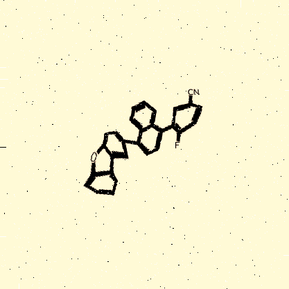 N#Cc1ccc(F)c(-c2ccc(-c3ccc4oc5ccccc5c4c3)c3ccccc23)c1